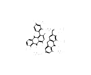 COc1c(-c2c(C)cc(O)c3c2C(=O)c2cccc(O)c2C3=O)ccc(O)c1C(C)=O.COc1cc2c(c(OC)c1)C(=O)c1c(cc(CC(=O)O)c(C(C)=O)c1O)C2